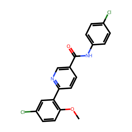 COc1ccc(Cl)cc1-c1ccc(C(=O)Nc2ccc(Cl)cc2)cn1